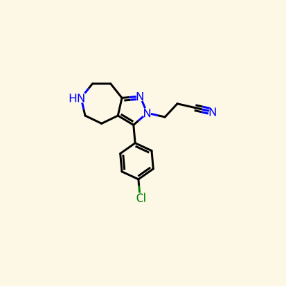 N#CCCn1nc2c(c1-c1ccc(Cl)cc1)CCNCC2